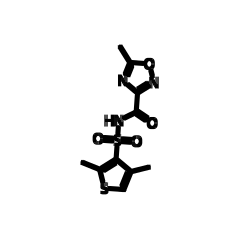 Cc1nc(C(=O)NS(=O)(=O)c2c(C)csc2C)no1